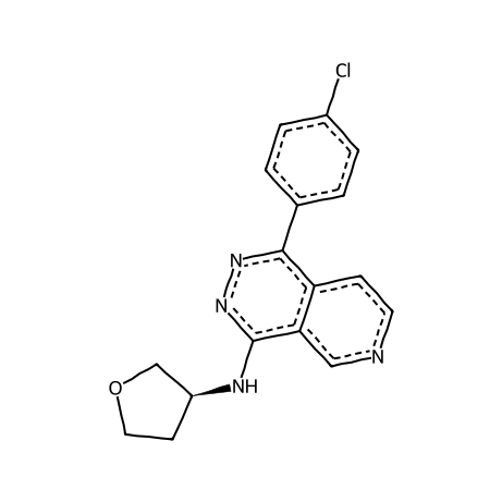 Clc1ccc(-c2nnc(N[C@H]3CCOC3)c3cnccc23)cc1